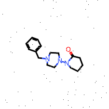 O=C1CCCCN1N1CCN(Cc2ccccc2)CC1